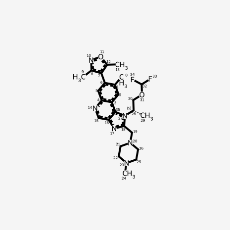 Cc1cc2c(cc1-c1c(C)noc1C)ncc1nc(CN3CCN(C)CC3)n([C@@H](C)COC(F)F)c12